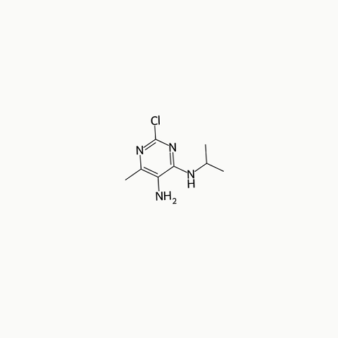 Cc1nc(Cl)nc(NC(C)C)c1N